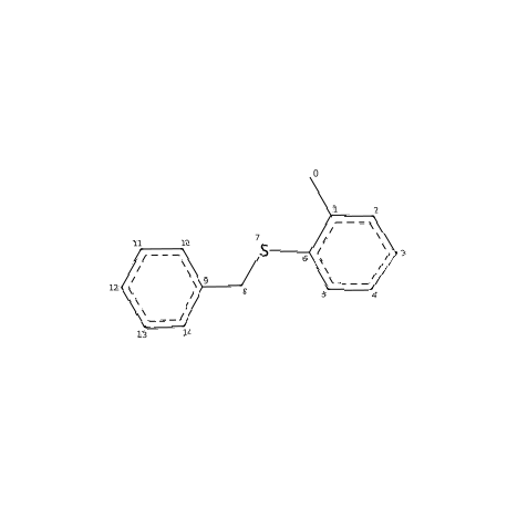 Cc1ccccc1SCc1ccccc1